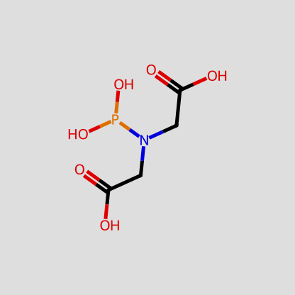 O=C(O)CN(CC(=O)O)P(O)O